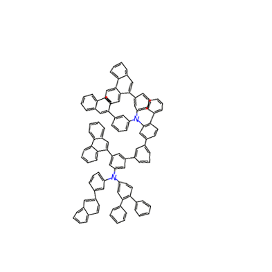 c1ccc(-c2ccc(N(c3cccc(-c4ccc5ccccc5c4)c3)c3cc(-c4cccc(-c5ccc(-c6ccccc6)c(N(c6cccc(-c7ccc8ccccc8c7)c6)c6cccc(-c7cc8ccccc8c8ccccc78)c6)c5)c4)cc(-c4cc5ccccc5c5ccccc45)c3)cc2-c2ccccc2)cc1